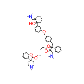 CCC(=O)O[C@](Cc1ccccc1)(c1ccccc1)[C@H](C)CN(C)C.CCOC(=O)C1(c2ccccc2)CCN(C)CC1.COc1cccc([C@@]2(O)CCCC[C@@H]2CN(C)C)c1